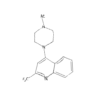 CC(=O)N1CCN(c2cc(C(F)(F)F)nc3ccccc23)CC1